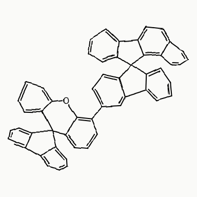 c1ccc2c(c1)Oc1c(-c3ccc4c(c3)-c3ccccc3C43c4ccccc4-c4ccc5ccccc5c43)cccc1C21c2ccccc2-c2ccccc21